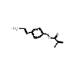 C=C(C)C(=O)OCc1ccc(C=CC(=O)O)cc1